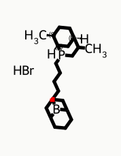 Br.CC1CP(CCCCCB2C3CCCC2CCC3)[C@@H]2C[C@H]1CC[C@@H]2C